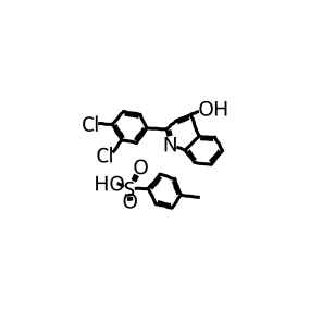 Cc1ccc(S(=O)(=O)O)cc1.Oc1cc(-c2ccc(Cl)c(Cl)c2)nc2ccccc12